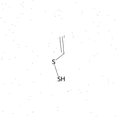 [C]=CSS